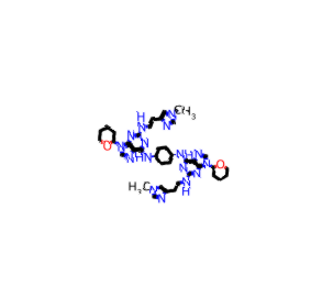 Cn1cnc(CCNc2nc(N[C@H]3CC[C@H](Nc4nc(NCCc5cn(C)cn5)nc5c4ncn5C4CCCCO4)CC3)c3ncn(C4CCCCO4)c3n2)c1